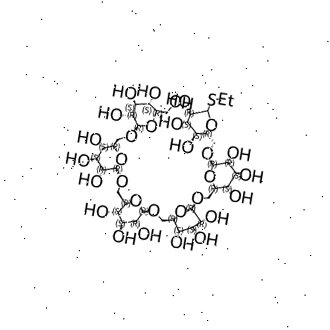 CCSC1O[C@H](CO[C@@H]2O[C@H](CO[C@@H]3O[C@H](CO[C@@H]4O[C@H](CO[C@@H]5O[C@H](CO[C@@H]6O[C@H](CO)[C@@H](O)[C@H](O)[C@H]6O)[C@@H](O)[C@H](O)[C@H]5O)[C@@H](O)[C@H](O)[C@H]4O)[C@@H](O)[C@H](O)[C@H]3O)[C@@H](O)[C@H](O)[C@H]2O)[C@@H](O)[C@H](O)[C@H]1O